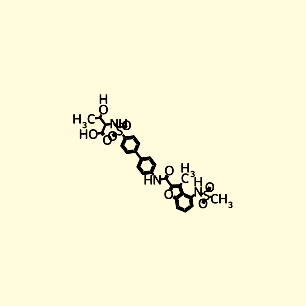 Cc1c(C(=O)Nc2ccc(-c3ccc(S(=O)(=O)NC(C(=O)O)C(C)O)cc3)cc2)oc2cccc(NS(C)(=O)=O)c12